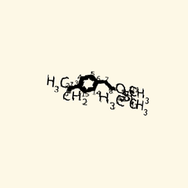 C=C(C)c1ccc(CCO[Si](C)(C)C)cc1